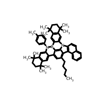 CCCCCc1cc2c3c4c1c1c5ccccc5ccc1n4-c1cc4c(cc1B3N(c1ccc(C)cc1)c1cc3c(cc1-2)C(C)(C)CCC3(C)C)C(C)(C)CCC4(C)C